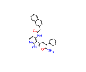 NC(=O)C(=Cc1c[nH]c2nccc(NC(=O)Cc3ccc4ccccc4c3)c12)c1ccccc1